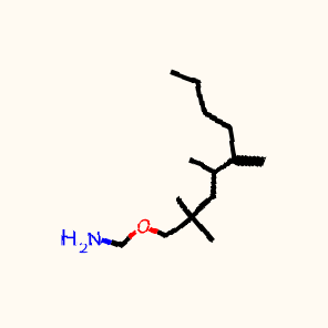 C=C(CCCC)C(C)CC(C)(C)COCN